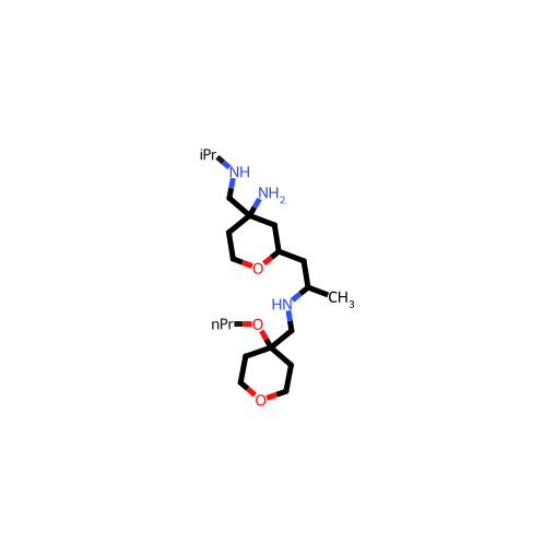 CCCOC1(CNC(C)CC2CC(N)(CNC(C)C)CCO2)CCOCC1